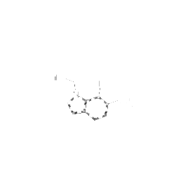 CC(C)Cn1ccc2ccc(C(=O)O)c(F)c21